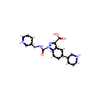 O=C(O)c1nn(C(=O)NCc2cccnc2)c2ccc(-c3cccnc3)cc12